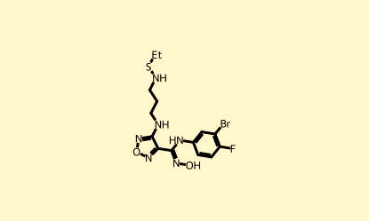 CCSNCCCNc1nonc1/C(=N/O)Nc1ccc(F)c(Br)c1